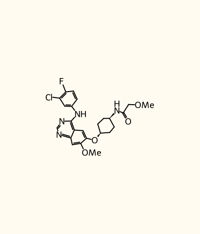 COCC(=O)N[C@H]1CC[C@@H](Oc2cc3c(Nc4ccc(F)c(Cl)c4)ncnc3cc2OC)CC1